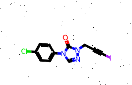 O=c1n(-c2ccc(Cl)cc2)cnn1CC#CI